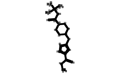 COC(=O)c1cc(CC2CCN(C(=O)OC(C)(C)C)CC2)no1